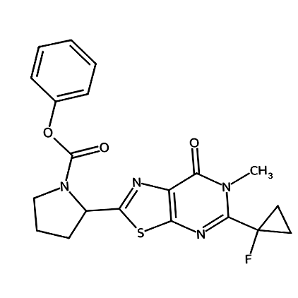 Cn1c(C2(F)CC2)nc2sc(C3CCCN3C(=O)Oc3ccccc3)nc2c1=O